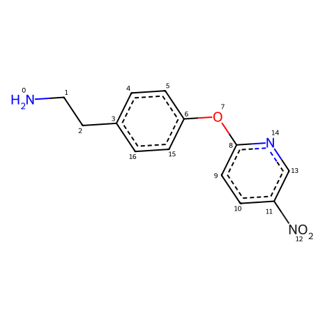 NCCc1ccc(Oc2ccc([N+](=O)[O-])cn2)cc1